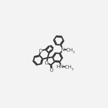 CNc1cc(N(C)c2ccccc2)cc2c1C(=O)OC21c2ccccc2Oc2ccccc21